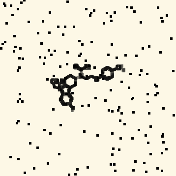 CCC(=O)N(CCOc1ccc(C(F)(F)F)cc1)[C@H]1CCc2c(c3cc(F)ccc3n2CC(=O)O)C1